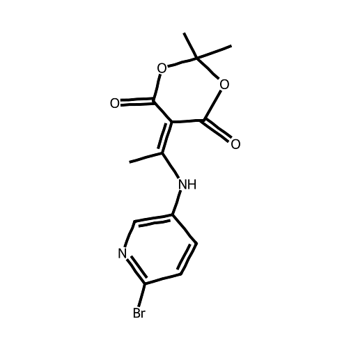 CC(Nc1ccc(Br)nc1)=C1C(=O)OC(C)(C)OC1=O